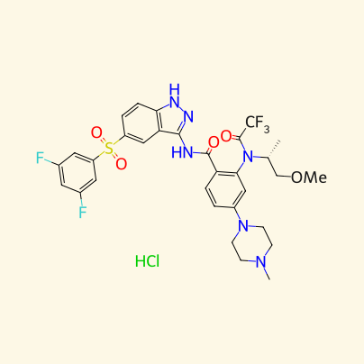 COC[C@@H](C)N(C(=O)C(F)(F)F)c1cc(N2CCN(C)CC2)ccc1C(=O)Nc1n[nH]c2ccc(S(=O)(=O)c3cc(F)cc(F)c3)cc12.Cl